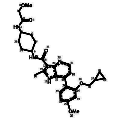 COCC(=O)N[C@H]1CC[C@@H](NC(=O)c2c(C)[nH]c3c(-c4ccc(OC)cc4OCC4CC4)ccnc23)CC1